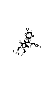 CCOC(=O)C(C[C@H]1CNC[C@@H](C)O1)(C(=O)OCC)C(=O)OCC